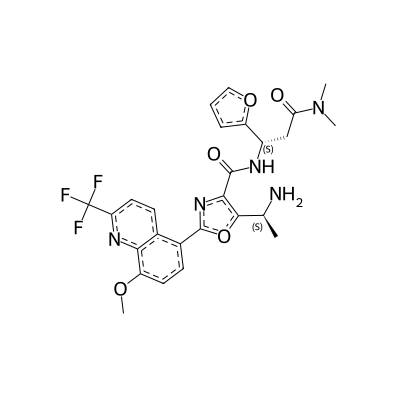 COc1ccc(-c2nc(C(=O)N[C@@H](CC(=O)N(C)C)c3ccco3)c([C@H](C)N)o2)c2ccc(C(F)(F)F)nc12